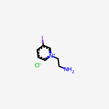 NCC[n+]1cccc(I)c1.[Cl-]